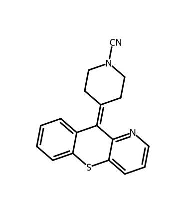 N#CN1CCC(=C2c3ccccc3Sc3cccnc32)CC1